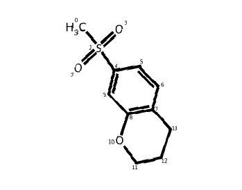 CS(=O)(=O)c1ccc2c(c1)OCCC2